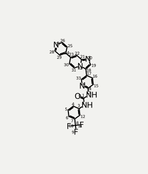 O=C(Nc1cccc(C(F)(F)F)c1)Nc1ccc(-c2cnc3cc(-c4ccncc4)ccn23)cn1